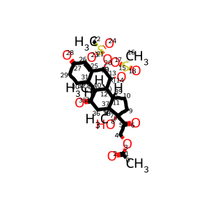 CC(=O)OCC(=O)[C@@]1(O)CC[C@H]2[C@@H]3[C@@H](OS(C)(=O)=O)[C@@H](OS(C)(=O)=O)C4=CC(=O)CC[C@]4(C)[C@H]3C(=O)C[C@@]21C